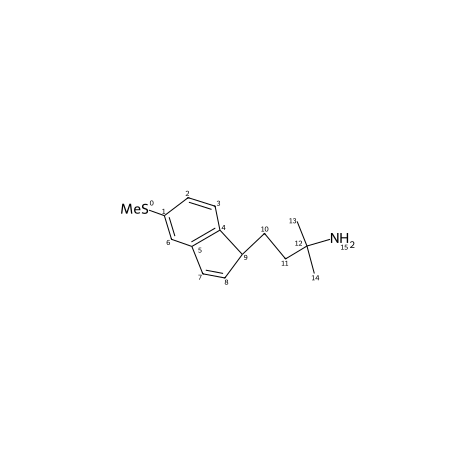 CSc1ccc2c(c1)C=CC2CCC(C)(C)N